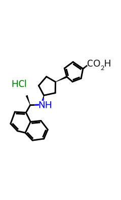 C[C@@H](N[C@H]1CC[C@@H](c2ccc(C(=O)O)cc2)C1)c1cccc2ccccc12.Cl